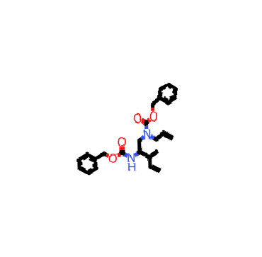 C=CCN(CC(NC(=O)OCc1ccccc1)C(C)C=C)C(=O)OCc1ccccc1